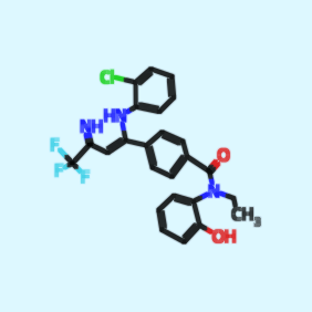 CCN(C(=O)c1ccc(/C(=C/C(=N)C(F)(F)F)Nc2ccccc2Cl)cc1)c1ccccc1O